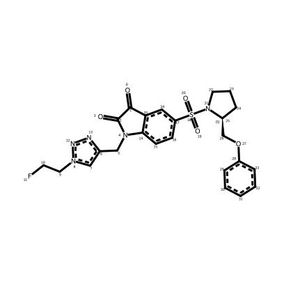 O=C1C(=O)N(Cc2cn(CCF)nn2)c2ccc(S(=O)(=O)N3CCC[C@H]3COc3ccccc3)cc21